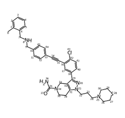 Cc1ccccc1CNCc1ccc(C#Cc2cc(-c3nn(CCCN4CCSCC4)c4c3CN(C(N)=O)CC4)ccc2Cl)cc1